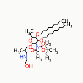 CCCCCCCCCOC1C(N(C(C)=O)C(=O)OC(C)(C)C)[C@@H](OCC(C)CNCCO)OC(CC)[C@H]1OCCCCCCCCC